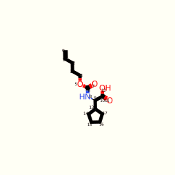 C=CCCCOC(=O)N[C@H](C(=O)O)C1CCCC1